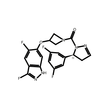 O=C(N1CC(Oc2cc3[nH]nc(F)c3cc2F)C1)N1N=CC[C@H]1c1cc(F)cc(F)c1